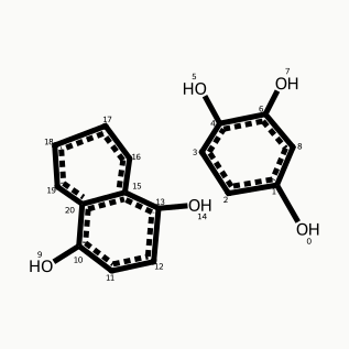 Oc1ccc(O)c(O)c1.Oc1ccc(O)c2ccccc12